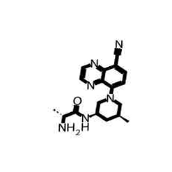 C[C@H]1C[C@@H](NC(=O)[C@@H](C)N)CN(c2ccc(C#N)c3nccnc23)C1